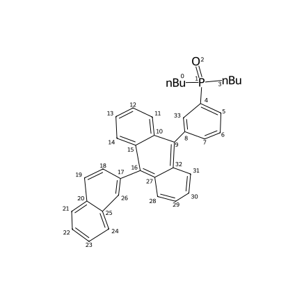 CCCCP(=O)(CCCC)c1cccc(-c2c3ccccc3c(-c3ccc4ccccc4c3)c3ccccc23)c1